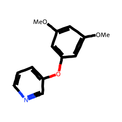 COc1cc(OC)cc(Oc2cc[c]nc2)c1